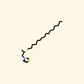 CCCCCCCCCCCCCCCCSC(C)C[n+]1ccsc1